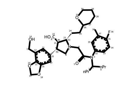 CCCC(CCC)N(C(=O)CN1C[C@H](c2cc(CO)c3c(c2)OCO3)[C@@H](C(=O)O)[C@@H]1CCC1CCCCO1)c1ccc(F)c(C)c1